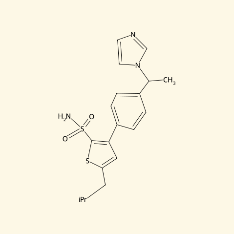 CC(C)Cc1cc(-c2ccc(C(C)n3ccnc3)cc2)c(S(N)(=O)=O)s1